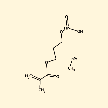 C=C(C)C(=O)OCCCO[PH](=O)O.CCCC